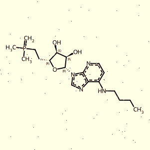 C=P(C)(C)CC[C@H]1O[C@@H](n2cnc3c(NCCCC)ccnc32)[C@H](O)[C@@H]1O